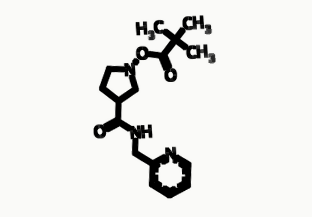 CC(C)(C)C(=O)ON1CCC(C(=O)NCc2ccccn2)C1